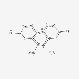 CNc1c(N)c2cc(Br)ccc2c2ccc(Br)cc12